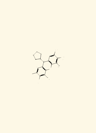 Oc1c(I)cc2c(c1I)Oc1c(cc(I)c(O)c1I)C2C1CCCC1